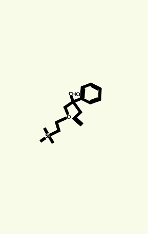 C=CCC(C=O)(COCC[Si](C)(C)C)c1ccccc1